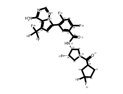 Nc1ncnn2c(-c3cc(C(=O)N[C@@H]4CN(C(=O)C5CCC(F)(F)C5)C[C@@H]4F)c(F)cc3F)cc(C(F)(F)F)c12